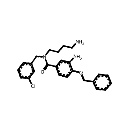 NCCCCN(Cc1cccc(Cl)c1)C(=O)c1ccc(OCc2ccccc2)c(N)c1